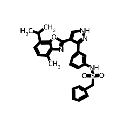 Cc1ccc(C(C)C)c2oc(-c3c[nH]nc3-c3cccc(NS(=O)(=O)Cc4ccccc4)c3)nc12